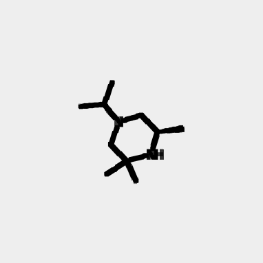 CC(C)N1C[C@@H](C)NC(C)(C)C1